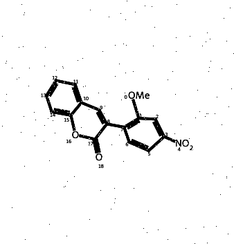 COc1cc([N+](=O)[O-])ccc1-c1cc2ccccc2oc1=O